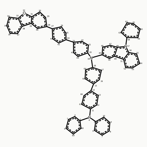 c1ccc(N(c2ccccc2)c2ccc(-c3ccc(N(c4ccc(-c5ccc(-c6ccc7oc8ccccc8c7c6)cc5)cc4)c4ccc5c(c4)c4ccccc4n5-c4ccccc4)cc3)cc2)cc1